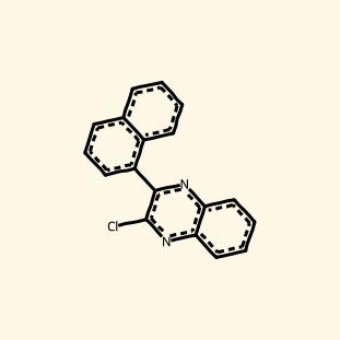 Clc1nc2ccccc2nc1-c1cccc2ccccc12